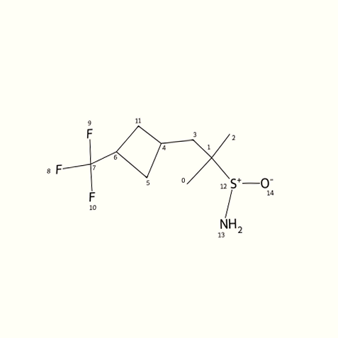 CC(C)(CC1CC(C(F)(F)F)C1)[S+](N)[O-]